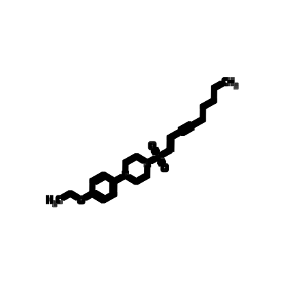 CCCCCC#CC=CS(=O)(=O)N1CCN(c2ccc(OCC)cc2)CC1